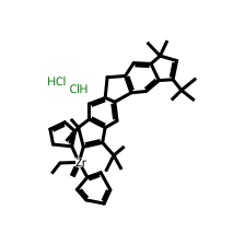 Cl.Cl.[CH2]=[Zr]([CH2]C)([C]1=CC=CC1)([C]1=C(C(C)(C)C)c2cc3c(cc2C1(C)C)Cc1cc2c(cc1-3)C(C(C)(C)C)=CC2(C)C)[c]1ccccc1